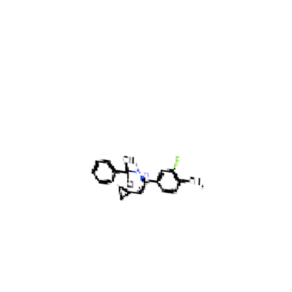 Cc1ccc(/C(CC2CC2)=N/C(C)(C)c2ccccc2)cc1F